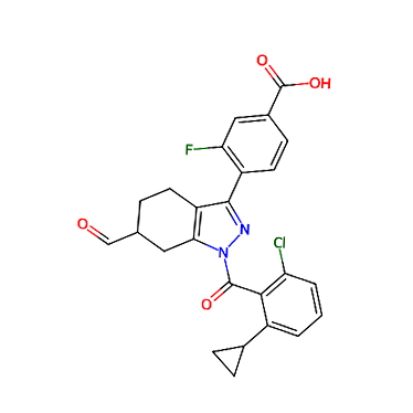 O=CC1CCc2c(-c3ccc(C(=O)O)cc3F)nn(C(=O)c3c(Cl)cccc3C3CC3)c2C1